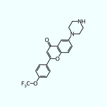 O=c1cc(-c2ccc(OC(F)(F)F)cc2)oc2ccc(N3CCNCC3)cc12